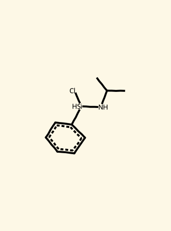 CC(C)N[SiH](Cl)c1ccccc1